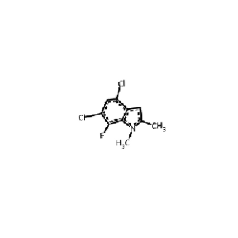 Cc1cc2c(Cl)cc(Cl)c(F)c2n1C